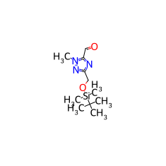 Cn1nc(CO[Si](C)(C)C(C)(C)C)nc1C=O